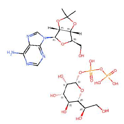 CC1(C)O[C@@H]2[C@H](O1)[C@@H](CO)O[C@H]2n1cnc2c(N)ncnc21.O=P(O)(O)OP(=O)(O)O[C@@H]1O[C@H]([C@H](O)CO)[C@@H](O)[C@H](O)[C@@H]1O